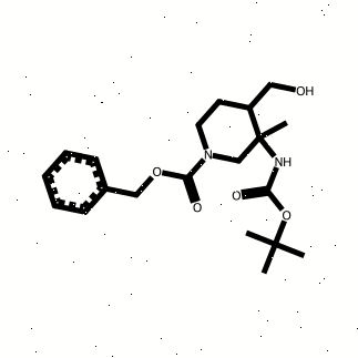 CC(C)(C)OC(=O)NC1(C)CN(C(=O)OCc2ccccc2)CCC1CO